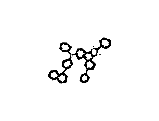 c1ccc(-c2ccc3c4c(c5ccc(N(c6ccccc6)c6ccc(-c7cccc8ccccc78)cc6)cc5c3c2)OC(c2ccccc2)N4)cc1